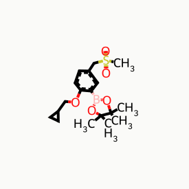 CC1(C)OB(c2cc(CS(C)(=O)=O)ccc2OCC2CC2)OC1(C)C